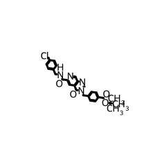 CC(C)(C)OC(=O)c1ccc(Cn2cnc3cnc(C(=O)NCc4ccc(Cl)cc4)cc3c2=O)cc1